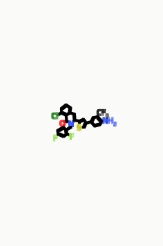 Nc1ccc(-c2csc(-c3cc4cccc(Cl)c4c(=O)n3Cc3ccc(F)cc3F)c2)cc1C(F)(F)F